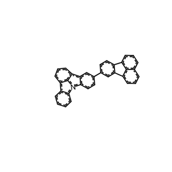 c1cc2c3c(cccc3c1)-c1cc(-c3ccc4c(c3)c3cccc5c6ccccc6n4c53)ccc1-2